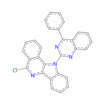 Clc1nc2c3ccccc3n(-c3nc(-c4ccccc4)c4ccccc4n3)c2c2ccccc12